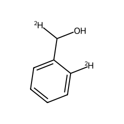 [2H]c1ccccc1C([2H])O